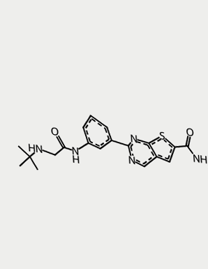 CC(C)(C)NCC(=O)Nc1cccc(-c2ncc3cc(C(N)=O)sc3n2)c1